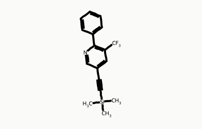 C[Si](C)(C)C#Cc1cnc(-c2ccccc2)c(C(F)(F)F)c1